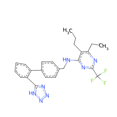 CCCc1c(CC)nc(C(F)(F)F)nc1NCc1ccc(-c2ccccc2-c2nnn[nH]2)cc1